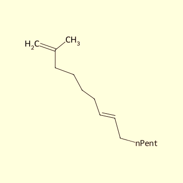 C=C(C)CCCCC=CCCCCCC